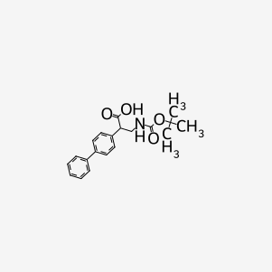 CC(C)(C)OC(=O)NCC(C(=O)O)c1ccc(-c2ccccc2)cc1